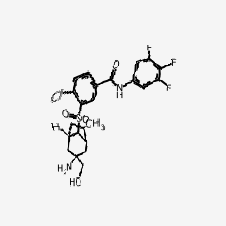 C[C@H]1C[C@H]2C[C@@](N)(CO)CC1C2S(=O)(=O)c1cc(C(=O)Nc2cc(F)c(F)c(F)c2)ccc1Cl